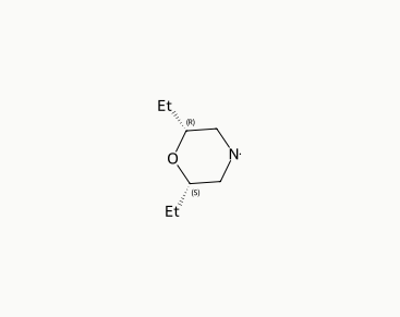 CC[C@@H]1C[N]C[C@H](CC)O1